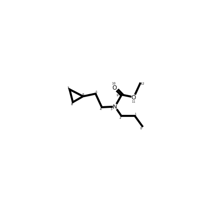 CCCN(CCC1CC1)C(=O)OC